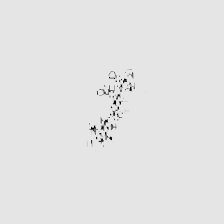 Cc1[nH]c2ccccc2c1C[C@H](NC(=O)[C@H](CCC(N)=O)NC(=O)[C@@H](Cc1ccccc1)NC(=O)[C@@H]1CCCCN1)C(=O)N[C@@H](C)C(=O)N[C@H](C(=O)NCC(=O)N[C@@H](Cc1c[nH]cn1)C(=O)N[C@@H](CC(C)C)C(=O)N1CSC[C@H]1C(N)=O)C(C)C